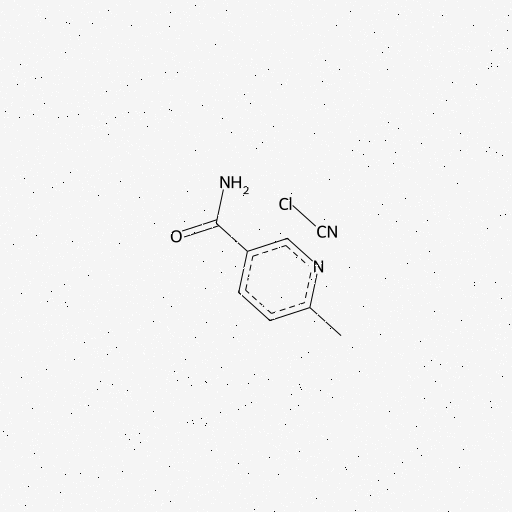 Cc1ccc(C(N)=O)cn1.N#CCl